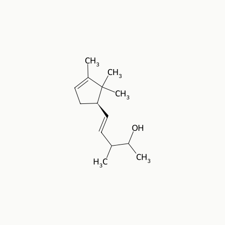 CC1=CC[C@H](/C=C/C(C)C(C)O)C1(C)C